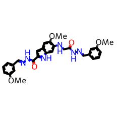 COc1cccc(C=NNC(=O)CNc2cc3[nH]c(C(=O)NN=Cc4cccc(OC)c4)cc3cc2OC)c1